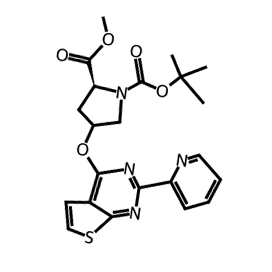 COC(=O)[C@@H]1CC(Oc2nc(-c3ccccn3)nc3sccc23)CN1C(=O)OC(C)(C)C